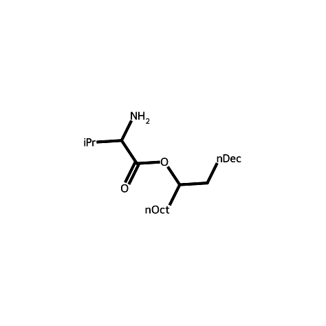 CCCCCCCCCCCC(CCCCCCCC)OC(=O)C(N)C(C)C